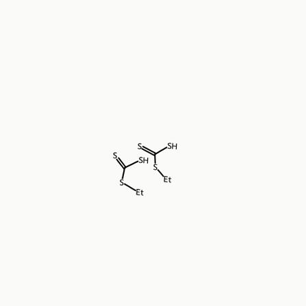 CCSC(=S)S.CCSC(=S)S